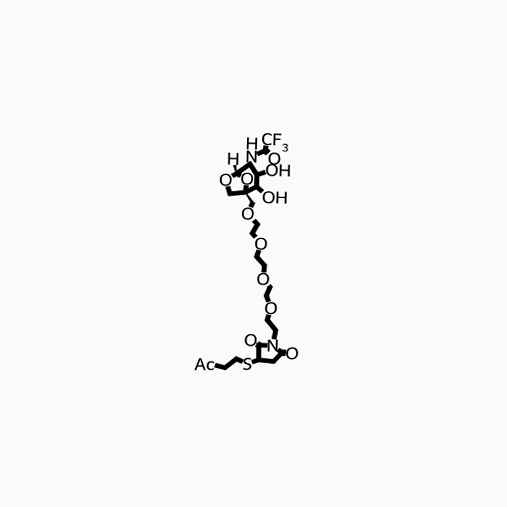 CC(=O)CCSC1CC(=O)N(CCOCCOCCOCCOC[C@@]23CO[C@@H](O2)[C@@H](NC(=O)C(F)(F)F)C(O)C3O)C1=O